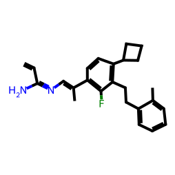 C=C/C(N)=N\C=C(/C)c1ccc(C2CCC2)c(CCc2ccccc2C)c1F